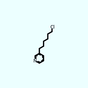 ClCCCCCCc1cccnc1